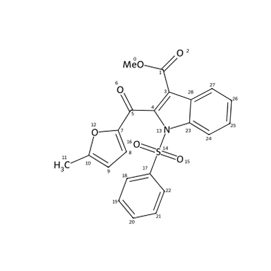 COC(=O)c1c(C(=O)c2ccc(C)o2)n(S(=O)(=O)c2ccccc2)c2ccccc12